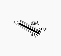 O=S(=O)(O)C(F)(F)C(F)(C(F)(F)C(F)(F)C(F)(F)C(F)(F)C(F)(F)C(F)(F)C(F)(F)C(F)(F)C(F)(F)C(F)(F)F)S(=O)(=O)O.[CaH2].[CaH2]